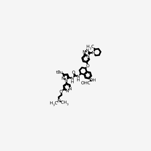 CC1CCCCN1c1nnc2ccc(OC3CCC(NC(=O)Nc4cc(C(C)(C)C)nn4-c4cnnc(OCCN(C)C)c4)c4ccccc43)cn12.O=CO